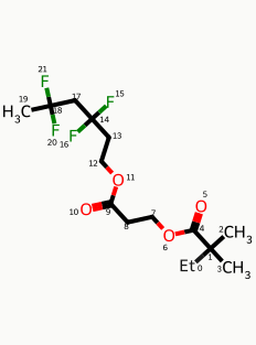 CCC(C)(C)C(=O)OCCC(=O)OCCC(F)(F)CC(C)(F)F